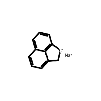 [Na+].c1cc2c3c(cccc3c1)C[CH-]2